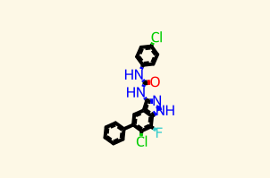 O=C(Nc1ccc(Cl)cc1)Nc1n[nH]c2c(F)c(Cl)c(-c3ccccc3)cc12